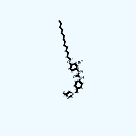 CCCCCCCCCCCCCCOc1ccc(NC(=O)Nc2ccc(C[n+]3csc(C)c3)cc2)cc1.[Br-]